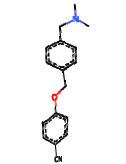 CN(C)Cc1ccc(COc2ccc(C#N)cc2)cc1